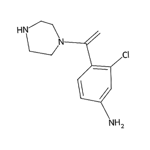 C=C(c1ccc(N)cc1Cl)N1CCNCC1